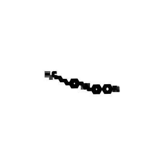 C=CCCCCc1ccc(C=NN=Cc2ccc([C@H]3CC[C@H](CC)CC3)cc2)cc1